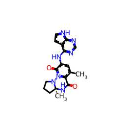 Cc1cc(Nc2ncnc3[nH]ccc23)c(=O)n2c1C(=O)N[C@@]1(C)CCCN21